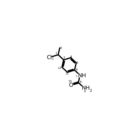 CC(Cl)c1ccc(NC(N)=O)cc1